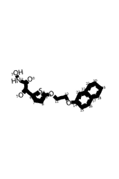 O=C(NO)C(=O)c1ccc(OCCOc2ccc3ccccc3c2)s1